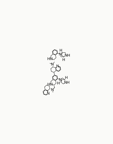 CN(C[C@@H]1Cc2c(cc(C3CC[C@H](N(C)C[C@H]4Cc5c(cccc5N5C[C@H]6C[C@@H]5CN6)CN4)c4ncccc43)cc2N2C[C@@H]3C[C@H]2CN3)CN1)[C@H]1CCCc2cccnc21